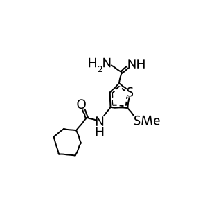 CSc1sc(C(=N)N)cc1NC(=O)C1CCCCC1